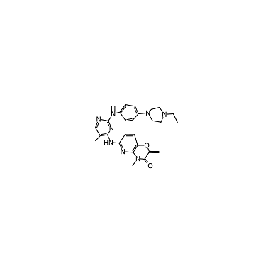 C=C1Oc2ccc(Nc3nc(Nc4ccc(N5CCN(CC)CC5)cc4)ncc3C)nc2N(C)C1=O